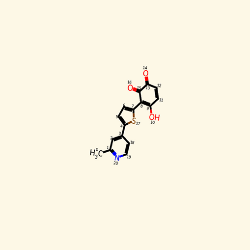 Cc1cc(-c2ccc(C3=C(O)C=CC(=O)C3=O)s2)ccn1